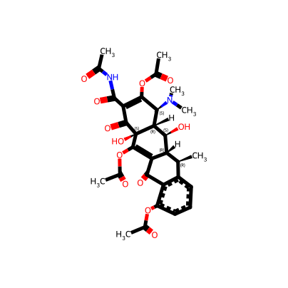 CC(=O)NC(=O)C1=C(OC(C)=O)[C@@H](N(C)C)[C@@H]2[C@@H](O)[C@H]3C(=C(OC(C)=O)[C@]2(O)C1=O)C(=O)c1c(OC(C)=O)cccc1[C@@H]3C